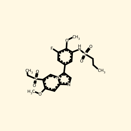 CCCS(=O)(=O)Nc1cc(-c2cnc3cc(OC)c(S(=O)(=O)CC)cn23)cc(F)c1OC